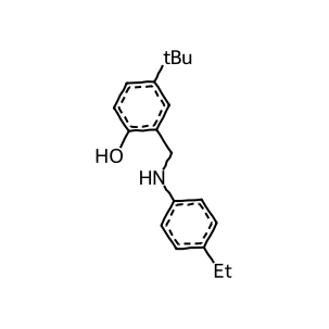 CCc1ccc(NCc2cc(C(C)(C)C)ccc2O)cc1